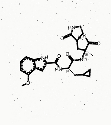 COc1cccc2[nH]c(C(=O)N[C@@H](CC3CC3)C(=O)N[C@@](C)(CC3CCNC3=O)C(N)=O)cc12